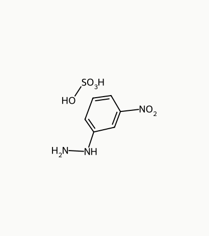 NNc1cccc([N+](=O)[O-])c1.O=S(=O)(O)O